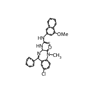 COc1cc(NC(=S)NC2N=C(c3ccccc3)c3cc(Cl)ccc3N(C)C2=O)cc2ccccc12